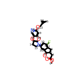 COC(=O)CC1Cc2c(F)cc(N3CC[C@@H](Oc4ccc(OCC5CC5)nc4)C3=O)cc2C1=O